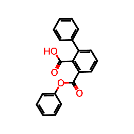 O=C(Oc1ccccc1)c1cccc(-c2ccccc2)c1C(=O)O